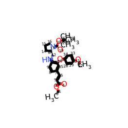 CCOC(=O)C=Cc1ccc(NC[C@@H]2CCCN2C(=O)OC(C)(C)C)c(Oc2ccc(OC)cc2)c1